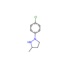 CC1CCN(c2ccc(Cl)cc2)N1